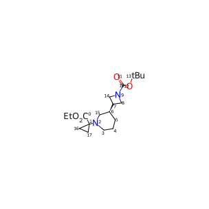 CCOC(=O)C1(N2CCC[C@H](C3CN(C(=O)OC(C)(C)C)C3)C2)CC1